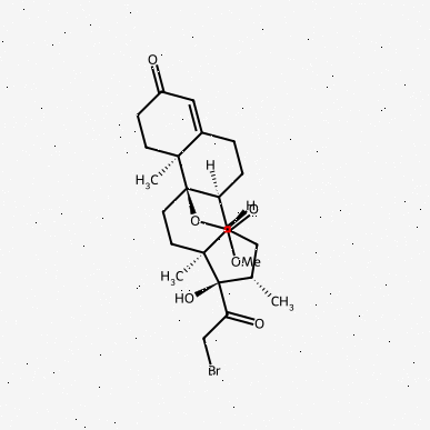 COC(=O)O[C@]12CC[C@@]3(C)[C@@H](C[C@H](C)[C@]3(O)C(=O)CBr)[C@@H]1CCC1=CC(=O)CC[C@@]12C